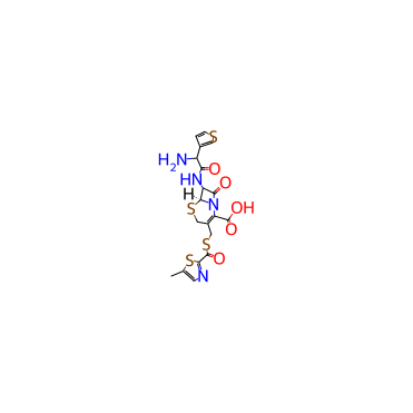 Cc1cnc(C(=O)SCC2=C(C(=O)O)N3C(=O)C(NC(=O)C(N)c4ccsc4)[C@@H]3SC2)s1